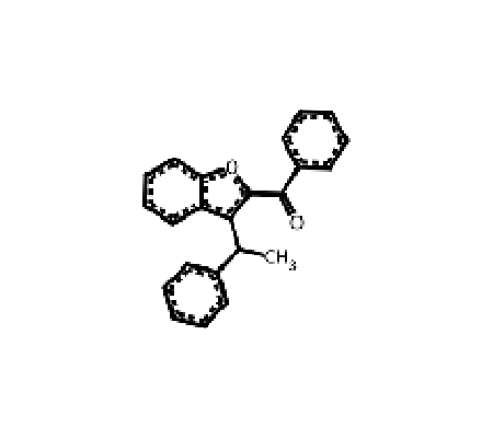 CC(c1ccccc1)c1c(C(=O)c2ccccc2)oc2ccccc12